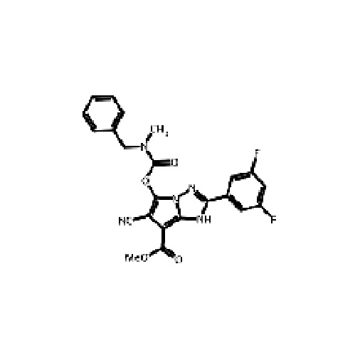 COC(=O)c1c(C#N)c(OC(=O)N(C)Cc2ccccc2)n2nc(-c3cc(F)cc(F)c3)[nH]c12